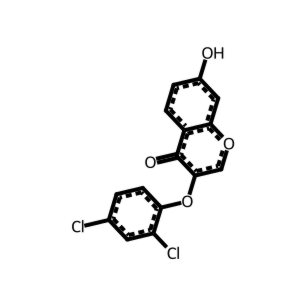 O=c1c(Oc2ccc(Cl)cc2Cl)coc2cc(O)ccc12